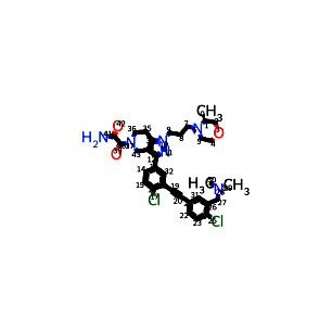 C[C@H]1COCCN1CCCn1nc(-c2ccc(Cl)c(C#Cc3ccc(Cl)c(CN(C)C)c3)c2)c2c1CCN(C(=O)C(N)=O)C2